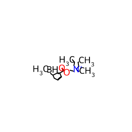 CBCC1C=C(C(=O)OCC[N+](CC)(CCC)CCC)C=CC1